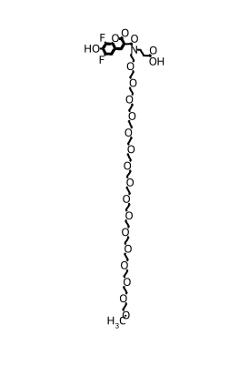 COCCOCCOCCOCCOCCOCCOCCOCCOCCOCCOCCOCCOCCOCCOCCOCCN(CCC(=O)O)C(=O)c1cc2cc(F)c(O)c(F)c2oc1=O